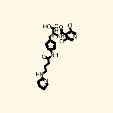 O=C(CCCNc1ccccn1)Nc1ccc(C[C@H](NC(=O)c2c(Cl)cncc2Cl)C(O)O)cc1